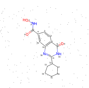 O=C(NO)c1ccc2c(=O)[nH]c(C3CCCCC3)nc2c1